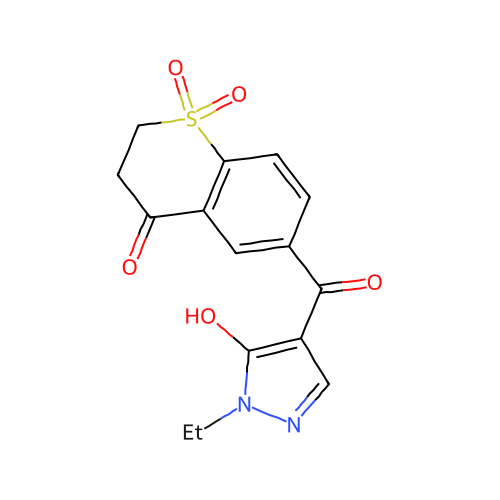 CCn1ncc(C(=O)c2ccc3c(c2)C(=O)CCS3(=O)=O)c1O